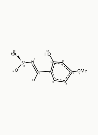 COc1ccc(/C(C)=N/[S@@+]([O-])C(C)(C)C)c(O)c1